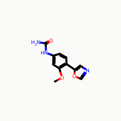 COc1cc(NC(N)=O)ccc1-c1cnco1